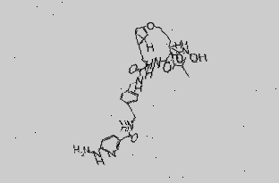 CC(C)C(C)[C@H]1C(=O)N[C@H](C(=O)NCc2ccc(CNC(=O)c3ccc(NN)nc3)cc2)CC2C3=CC(=C[C@@H]32)OCCC[C@@H]1C(=O)NO